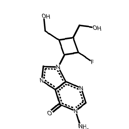 Nn1cnc2c(ncn2C2C(F)C(CO)C2CO)c1=O